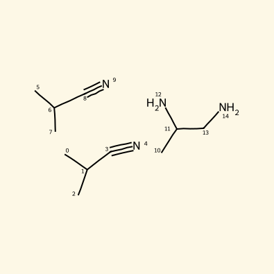 CC(C)C#N.CC(C)C#N.CC(N)CN